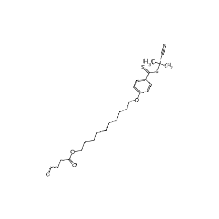 CC(C)(C#N)SC(=S)c1ccc(OCCCCCCCCCCOC(=O)CCC=O)cc1